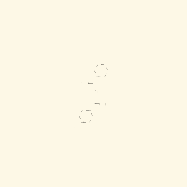 O=C(SSC(=O)c1ccc(O)cc1)c1ccc(O)cc1